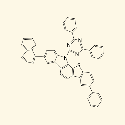 c1ccc(-c2ccc3sc4c(ccc5c6cc(-c7cccc8ccccc78)ccc6n(-c6nc(-c7ccccc7)nc(-c7ccccc7)n6)c54)c3c2)cc1